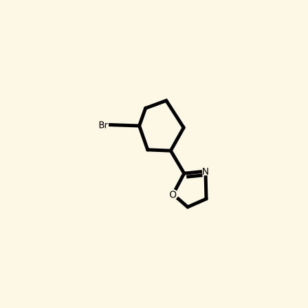 BrC1CCCC(C2=NCCO2)C1